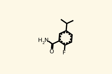 CC(C)c1ccc(F)c(C(N)=O)c1